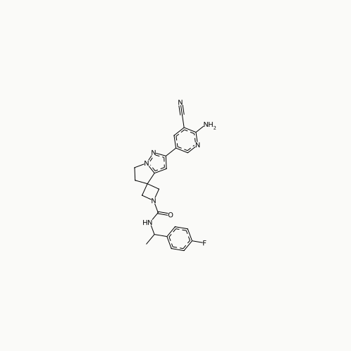 CC(NC(=O)N1CC2(CCn3nc(-c4cnc(N)c(C#N)c4)cc32)C1)c1ccc(F)cc1